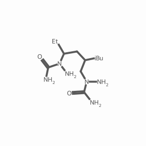 CCC(C)C(CC(CC)N(N)C(N)=O)CN(N)C(N)=O